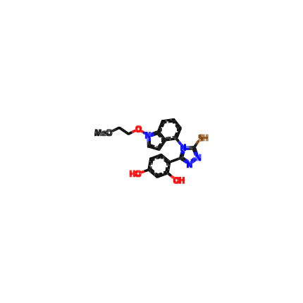 COCCOn1ccc2c(-n3c(S)nnc3-c3ccc(O)cc3O)cccc21